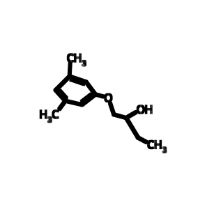 CCC(O)COc1cc(C)cc(C)c1